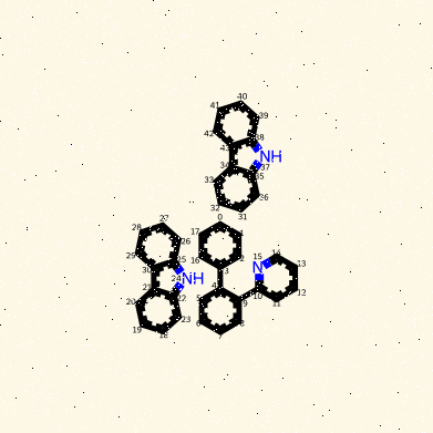 c1ccc(-c2ccccc2-c2ccccn2)cc1.c1ccc2c(c1)[nH]c1ccccc12.c1ccc2c(c1)[nH]c1ccccc12